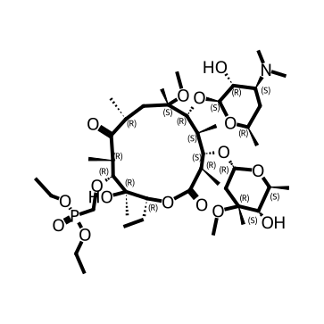 CCOP(=O)(CO[C@@H]1[C@@H](C)C(=O)[C@H](C)C[C@](C)(OC)[C@H](O[C@@H]2O[C@H](C)C[C@H](N(C)C)[C@H]2O)[C@@H](C)[C@H](O[C@H]2C[C@@](C)(OC)[C@@H](O)[C@H](C)O2)[C@@H](C)C(=O)O[C@H](CC)[C@@]1(C)O)OCC